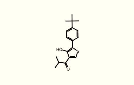 CC(C)C(=O)c1csc(-c2ccc(C(C)(C)C)cc2)c1O